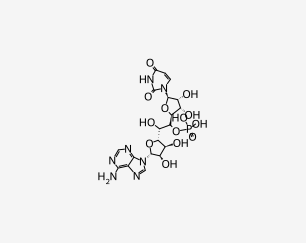 Nc1ncnc2c1ncn2[C@@H]1O[C@H](C(O)C(OP(=O)(O)O)[C@H]2O[C@@H](n3ccc(=O)[nH]c3=O)[C@H](O)[C@@H]2O)[C@@H](O)[C@H]1O